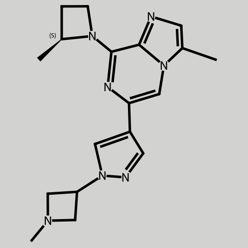 Cc1cnc2c(N3CC[C@@H]3C)nc(-c3cnn(C4CN(C)C4)c3)cn12